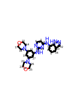 c1cc(Nc2ccnc(Nc3cc(N4CCOCC4)cc(N4CCOCC4)c3)n2)c2[nH]ncc2c1